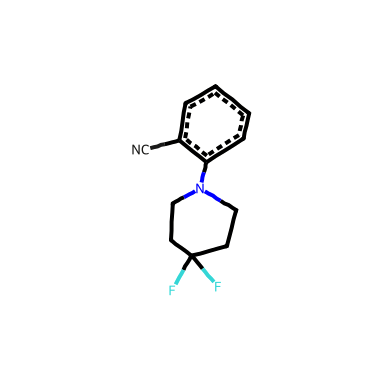 N#Cc1ccccc1N1CCC(F)(F)CC1